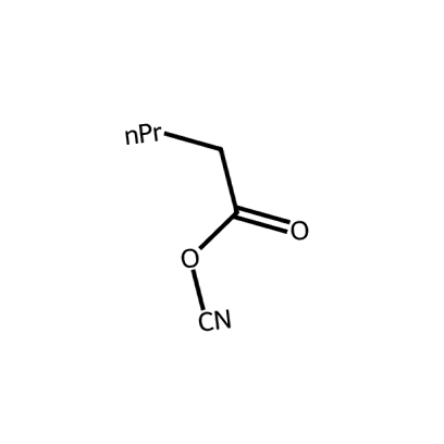 CCCCC(=O)OC#N